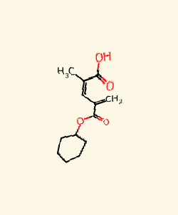 C=C(C=C(C)C(=O)O)C(=O)OC1CCCCC1